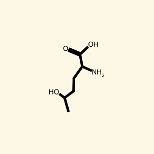 CC(O)CCC(N)C(=O)O